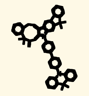 C=C1/C=c2\c(c3cc4c(cc3n2-c2ccc(-c3ccc(N5c6ccccc6C(C)(C)c6ccccc65)cc3)cc2)C(C)(C)c2ccccc2-4)=C/Cc2ccccc2C1(C)C